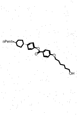 CCCCC[C@H]1CC[C@H](c2ccc(OC(=O)c3ccc(OCCCCCCO)cc3)cc2)CC1